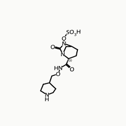 O=C(NOCC1CCNCC1)[C@@H]1CCC2CN1C(=O)N2OS(=O)(=O)O